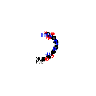 CC1(C)[C@H](NC(=O)c2ccc(N3CCC(CN4CCN(c5ccc6c(c5)C(=O)N(C5CCC(=O)NC5=O)C6=O)CC4)CC3)cc2)C(C)(C)[C@H]1Oc1ccc(C#N)c(C(F)(F)F)c1